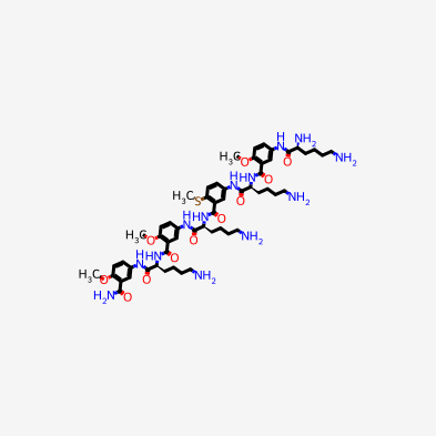 COc1ccc(NC(=O)[C@H](CCCCN)NC(=O)c2cc(NC(=O)[C@H](CCCCN)NC(=O)c3cc(NC(=O)[C@H](CCCCN)NC(=O)c4cc(NC(=O)[C@@H](N)CCCCN)ccc4OC)ccc3SC)ccc2OC)cc1C(N)=O